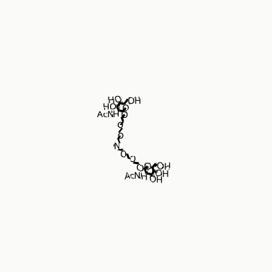 CC(=O)NC1[C@H](OCCOCCOCCN(C)CCOCCOCCO[C@@H]2OC(CO)[C@H](O)[C@H](O)C2NC(C)=O)OC(CO)[C@H](O)[C@@H]1O